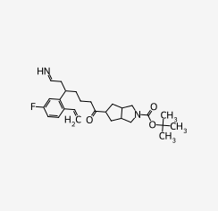 C=Cc1ccc(F)cc1C(CC=N)CCCC(=O)C1CC2CN(C(=O)OC(C)(C)C)CC2C1